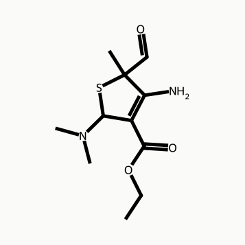 CCOC(=O)C1=C(N)C(C)(C=O)SC1N(C)C